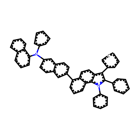 c1ccc(-c2c(-c3ccccc3)n(-c3ccccc3)c3c2ccc2c(-c4ccc5cc(N(c6ccccc6)c6cccc7ccccc67)ccc5c4)cccc23)cc1